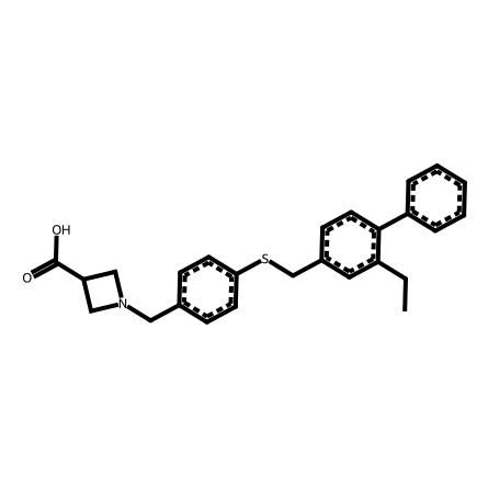 CCc1cc(CSc2ccc(CN3CC(C(=O)O)C3)cc2)ccc1-c1ccccc1